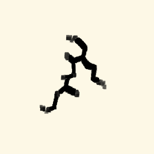 C=CC=C(C=C)C(=O)ONC(=O)OCC